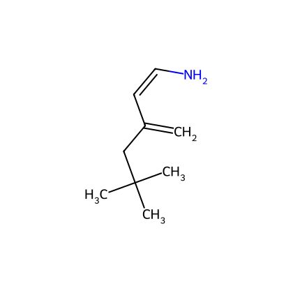 C=C(/C=C\N)CC(C)(C)C